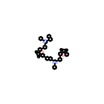 c1ccc(-c2nc(-c3cccc(-c4cccc5c4Oc4ccccc4C54c5ccccc5-c5ccccc54)c3)cc(-c3ccc4cc(-c5ccc6c(c5)Oc5c(-c7cccc(-c8cc(-c9cccc%10ccccc9%10)nc(-c9ccccc9)n8)c7)cccc5C65c6ccccc6-c6ccccc65)ccc4c3)n2)cc1